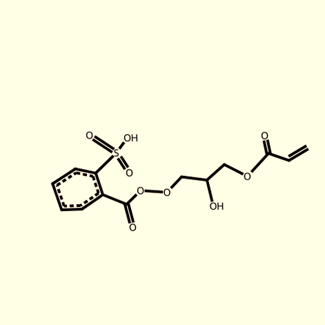 C=CC(=O)OCC(O)COOC(=O)c1ccccc1S(=O)(=O)O